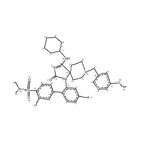 Cc1cc(-c2ccc(F)cc2N2C(=O)N=C(NC3CCCCC3)C23CCN(Cc2cccc(OC(C)C)c2)CC3)ccc1S(=O)(=O)N(C)C